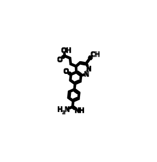 C#CC1=CC(CCC(=O)O)C2=C(C=C(c3ccc(C(=N)N)cc3)CC2=O)N=N1